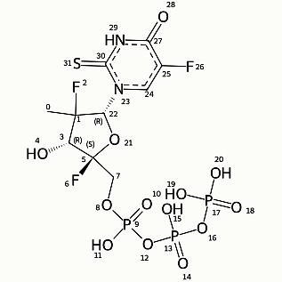 CC1(F)[C@@H](O)[C@@](F)(COP(=O)(O)OP(=O)(O)OP(=O)(O)O)O[C@H]1n1cc(F)c(=O)[nH]c1=S